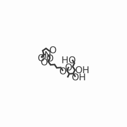 CC1C(OCCCCC(=O)ON2C(=O)CCC2=O)OC(CO)C(O)C1O